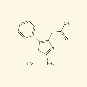 Br.Nc1nc(CC(=O)O)c(-c2ccccc2)s1